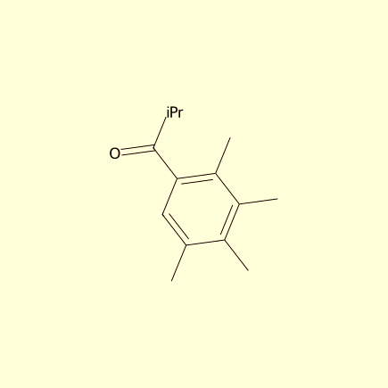 Cc1cc(C(=O)C(C)C)c(C)c(C)c1C